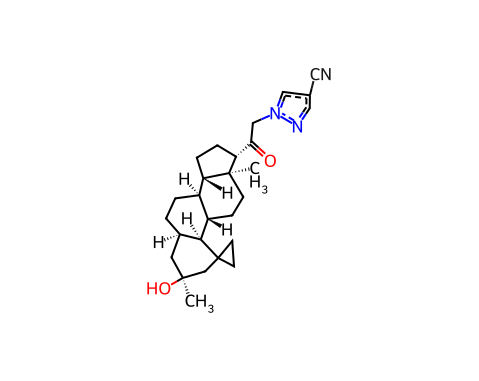 C[C@]1(O)C[C@H]2CC[C@@H]3[C@H](CC[C@]4(C)[C@@H](C(=O)Cn5cc(C#N)cn5)CC[C@@H]34)[C@H]2C2(CC2)C1